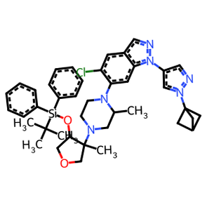 CC1CN(C2(C)COCC2O[Si](c2ccccc2)(c2ccccc2)C(C)(C)C)CCN1c1cc2c(cnn2-c2cnn(C34CC(C3)C4)c2)cc1Cl